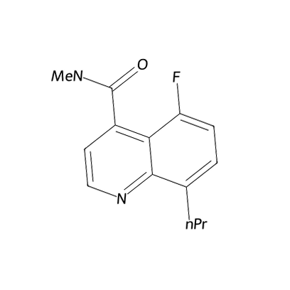 CCCc1ccc(F)c2c(C(=O)NC)ccnc12